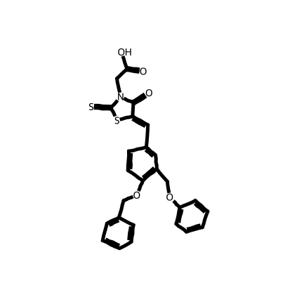 O=C(O)CN1C(=O)/C(=C/c2ccc(OCc3ccccc3)c(COc3ccccc3)c2)SC1=S